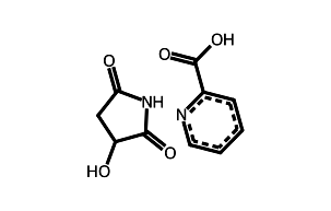 O=C(O)c1ccccn1.O=C1CC(O)C(=O)N1